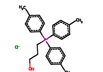 Cc1ccc([P+](CCCO)(c2ccc(C)cc2)c2ccc(C)cc2)cc1.[Cl-]